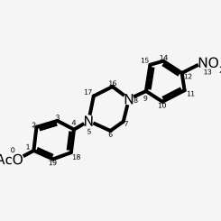 CC(=O)Oc1ccc(N2CCN(c3ccc([N+](=O)[O-])cc3)CC2)cc1